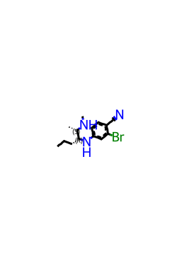 CCC[C@@H](Nc1ccc(C#N)c(Br)c1)[C@H](C)NC